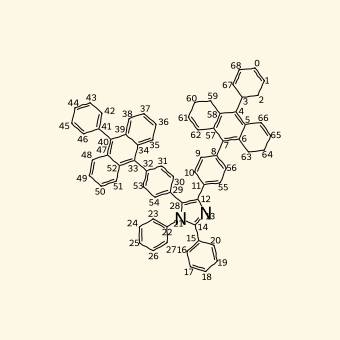 C1=CCC(c2c3c(c(-c4ccc(-c5nc(-c6ccccc6)n(-c6ccccc6)c5-c5ccc(-c6c7ccccc7c(-c7ccccc7)c7ccccc67)cc5)cc4)c4c2CCC=C4)CCC=C3)C=C1